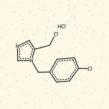 Cl.ClCc1cncn1Cc1ccc(Cl)cc1